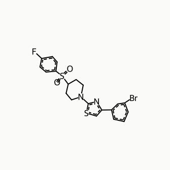 O=S(=O)(c1ccc(F)cc1)C1CCN(c2nc(-c3cccc(Br)c3)cs2)CC1